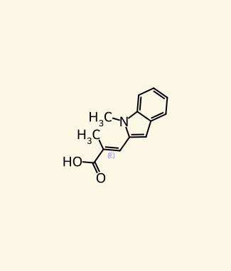 C/C(=C\c1cc2ccccc2n1C)C(=O)O